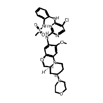 COc1cc2c(cc1Nc1ncc(Cl)c(Nc3ccccc3NS(C)(=O)=O)n1)OC[C@@H]1C[C@H](N3CCOCC3)CCN21